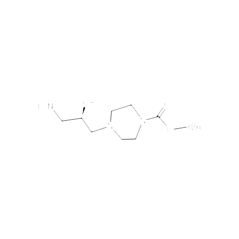 CC(C)(C)OC(=O)N1CCN(C[C@H](O)CN)CC1